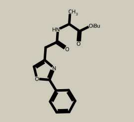 CC(C)COC(=O)C(C)NC(=O)Cc1coc(-c2ccccc2)n1